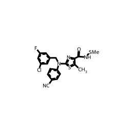 CSNC(=O)c1nc(N(Cc2cc(F)cc(Cl)c2)c2ccc(C#N)cc2)sc1C